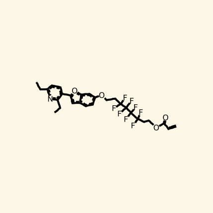 C=CC(=O)OCCC(F)(F)C(F)(F)C(F)(F)C(F)(F)CCOc1ccc2cc(-c3ccc(CC)nc3CC)oc2c1